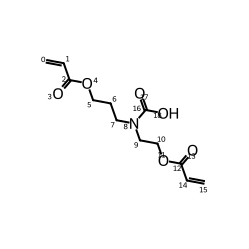 C=CC(=O)OCCCN(CCOC(=O)C=C)C(=O)O